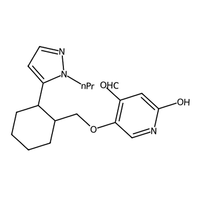 CCCn1nccc1C1CCCCC1COc1cnc(O)cc1C=O